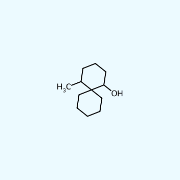 CC1CCCC(O)C12CCCCC2